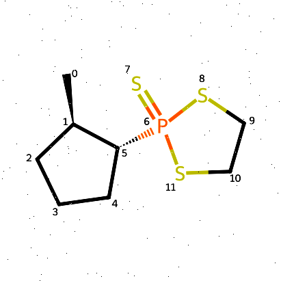 C[C@@H]1CCC[C@H]1P1(=S)SCCS1